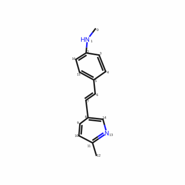 CNc1ccc(/C=C/c2ccc(C)nc2)cc1